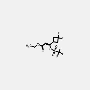 CCOC(=O)/C=C(\OS(=O)(=O)C(F)(F)F)C1CC(F)(F)C1